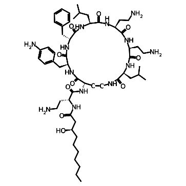 CCCCCCC[C@@H](O)CC(=O)N[C@H](CCN)C(=O)N[C@H]1CCNC(=O)[C@H](CC(C)C)NC(=O)[C@H](CCN)NC(=O)[C@H](CCN)NC(=O)[C@H](CC(C)C)NC(=O)[C@@H](Cc2ccccc2)NC(=O)[C@H](Cc2ccc(N)cc2)NC1=O